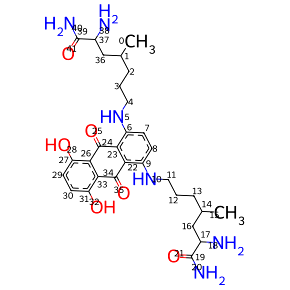 CC(CCCNc1ccc(NCCCC(C)CC(N)C(N)=O)c2c1C(=O)c1c(O)ccc(O)c1C2=O)CC(N)C(N)=O